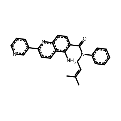 CC(C)=CCN(C(=O)c1ccc2nc(-c3cccnc3)ccc2c1N)c1ccccc1